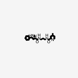 Cc1ccnc(C(=O)NCCCNC(=O)c2cc(-c3ccccc3)[nH]n2)c1